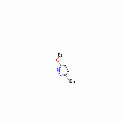 CCOc1ccc(C(C)CC)nn1